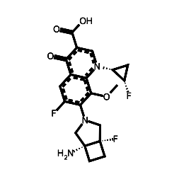 COc1c(N2C[C@]3(N)CC[C@]3(F)C2)c(F)cc2c(=O)c(C(=O)O)cn([C@@H]3C[C@@H]3F)c12